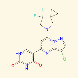 O=c1[nH]cc(-c2cc(N3CC(F)(F)C4(CC4)C3)n3ncc(Cl)c3n2)c(=O)[nH]1